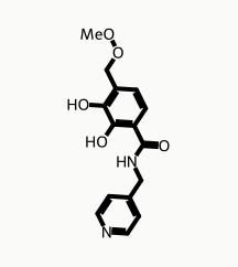 COOCc1ccc(C(=O)NCc2ccncc2)c(O)c1O